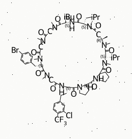 CC[C@H](C)[C@@H]1NC(=O)[C@H](CC(C)C)N(C)C(=O)C[C@@H](C)N(C)C(=O)[C@H](C(C)C)N(C)C(=O)C2(CCCC2)NC(=O)[C@@H]2CCCN2C(=O)[C@H](CCc2ccc(C(F)(F)F)c(Cl)c2)NC(=O)CN(C)C(=O)[C@H](Cc2ccc(Br)cc2)N(C)C(=O)CN(C)C(=O)CN(C)C1=O